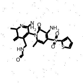 C=C1C(CNC=O)=C(n2c(C)cc(S(=O)(=O)c3cccs3)c(N)c2=O)C(N)=NC1C